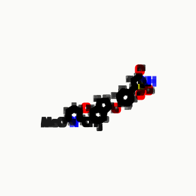 COc1ccc(Oc2cccc3c2CC[C@H]3Oc2ccc(C3CC(=O)NS3(=O)=O)cc2)c(C)n1